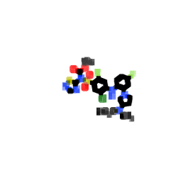 CN(C(=O)O)C1CCN(c2cc(F)ccc2Nc2cc(F)c(S(=O)(=O)N(C(=O)OC(C)(C)C)c3ncns3)cc2Cl)C1